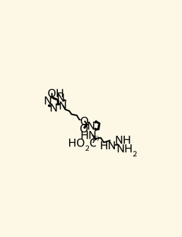 N=C(N)NCCC[C@H](Nc1cccn1C(=O)OCCCCCn1cnc2c(O)ncnc21)C(=O)O